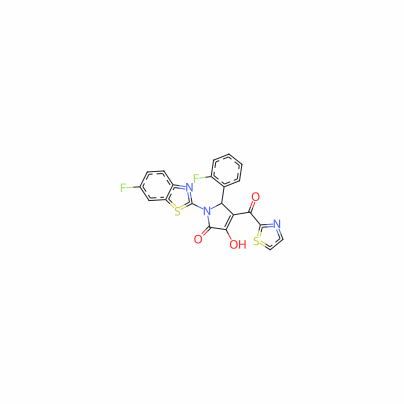 O=C(C1=C(O)C(=O)N(c2nc3ccc(F)cc3s2)C1c1ccccc1F)c1nccs1